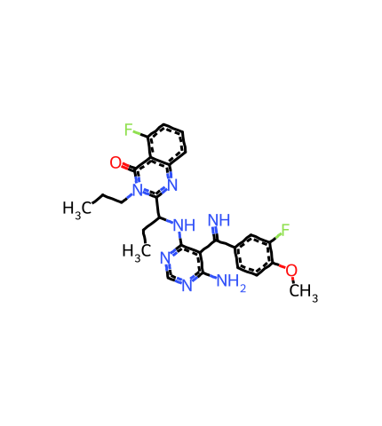 CCCn1c(C(CC)Nc2ncnc(N)c2C(=N)c2ccc(OC)c(F)c2)nc2cccc(F)c2c1=O